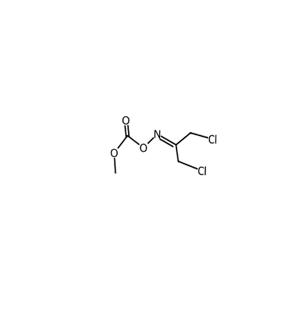 COC(=O)ON=C(CCl)CCl